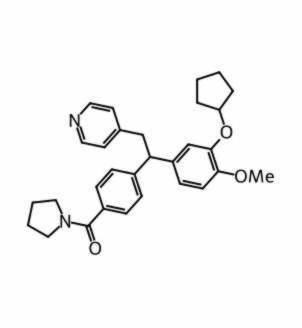 COc1ccc(C(Cc2ccncc2)c2ccc(C(=O)N3CCCC3)cc2)cc1OC1CCCC1